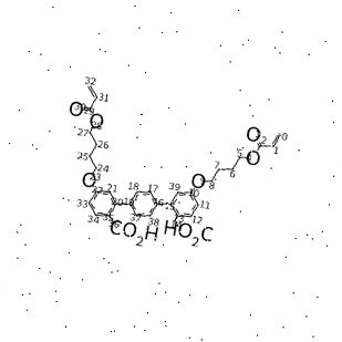 C=CC(=O)OCCCCOc1ccc(C(=O)O)c(-c2ccc(-c3cc(OCCCCOC(=O)C=C)ccc3C(=O)O)cc2)c1